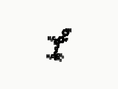 Cc1nn(COCC[Si](C)(C)C)c2cc(F)c(N3CCNCC3)cc12